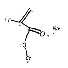 C=C(F)C(=O)OCC.[Na]